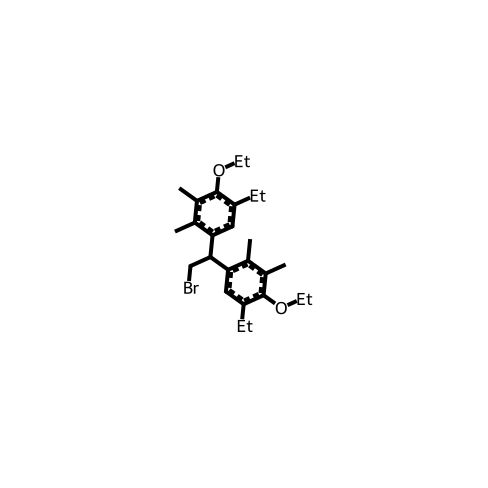 CCOc1c(CC)cc(C(CBr)c2cc(CC)c(OCC)c(C)c2C)c(C)c1C